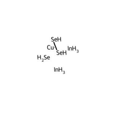 [Cu].[InH3].[InH3].[SeH2].[SeH][SeH]